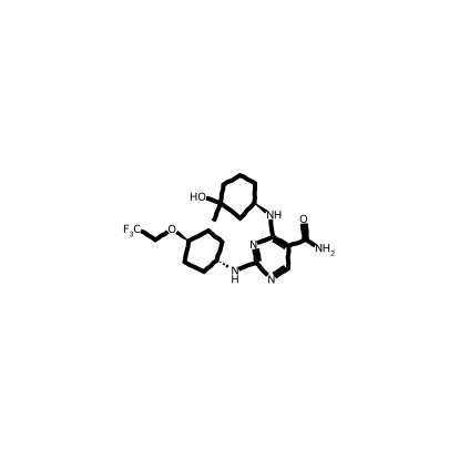 CC1(O)CCC[C@@H](Nc2nc(N[C@H]3CC[C@H](OCC(F)(F)F)CC3)ncc2C(N)=O)C1